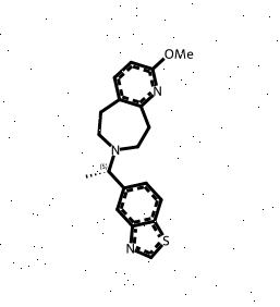 COc1ccc2c(n1)CCN([C@@H](C)c1ccc3scnc3c1)CC2